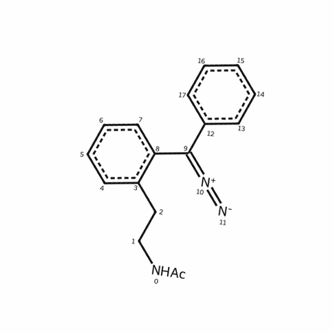 CC(=O)NCCc1ccccc1C(=[N+]=[N-])c1ccccc1